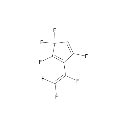 FC1=CC(F)(F)C(F)=C1C(F)=C(F)F